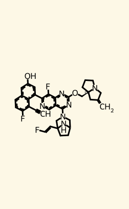 C#Cc1c(F)ccc2cc(O)cc(-c3ncc4c(N5CC6CCC(C=CF)(C5)N6)nc(OC[C@@]56CCCN5CC(=C)C6)nc4c3F)c12